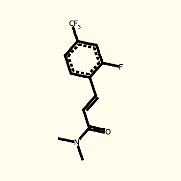 CN(C)C(=O)C=Cc1ccc(C(F)(F)F)cc1F